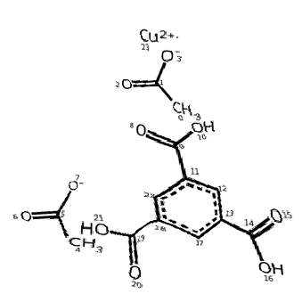 CC(=O)[O-].CC(=O)[O-].O=C(O)c1cc(C(=O)O)cc(C(=O)O)c1.[Cu+2]